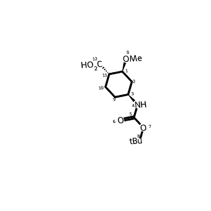 CO[C@H]1C[C@@H](NC(=O)OC(C)(C)C)CC[C@@H]1C(=O)O